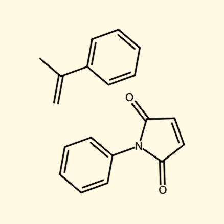 C=C(C)c1ccccc1.O=C1C=CC(=O)N1c1ccccc1